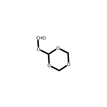 O=COC1OCOCO1